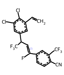 C=Cc1cc(C(/C=C(\F)c2ccc(C#N)c(C(F)(F)F)c2)C(F)(F)F)cc(Cl)c1Cl